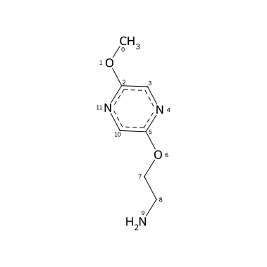 COc1cnc(OCCN)cn1